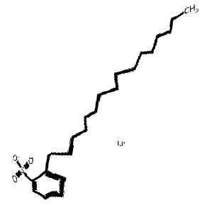 CCCCCCCCCCCCCCCCc1ccccc1S(=O)(=O)[O-].[Li+]